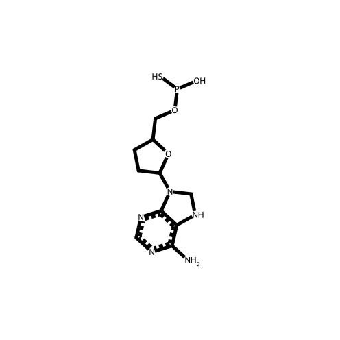 Nc1ncnc2c1NCN2C1CCC(COP(O)S)O1